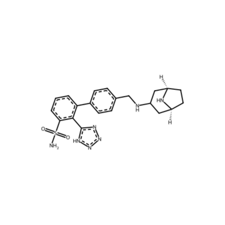 NS(=O)(=O)c1cccc(-c2ccc(CNC3C[C@H]4CC[C@@H](C3)N4)cc2)c1-c1nnn[nH]1